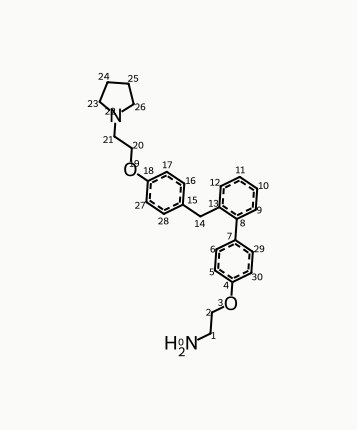 NCCOc1ccc(-c2ccccc2Cc2ccc(OCCN3CCCC3)cc2)cc1